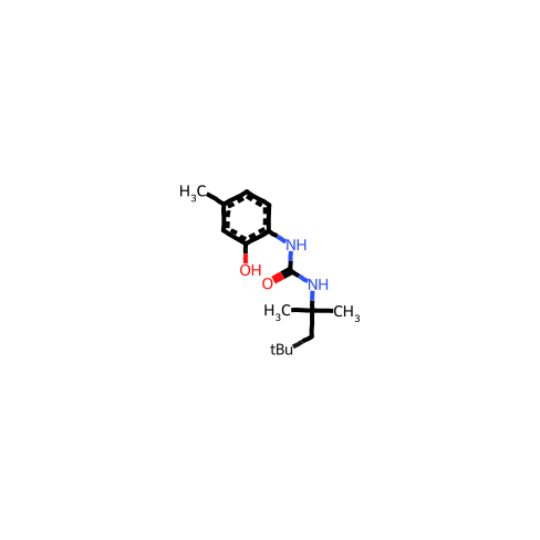 Cc1ccc(NC(=O)NC(C)(C)CC(C)(C)C)c(O)c1